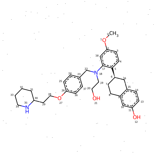 COc1ccc([C@@H]2CCc3cc(O)ccc3C2)c(N(CCO)Cc2ccc(OCCC3CCCCN3)cc2)c1